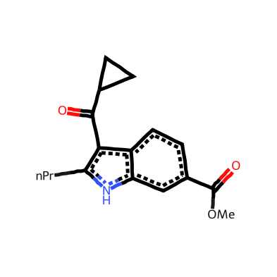 CCCc1[nH]c2cc(C(=O)OC)ccc2c1C(=O)C1CC1